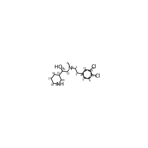 CN(CCc1ccc(Cl)c(Cl)c1)CC(O)C1CCCNC1